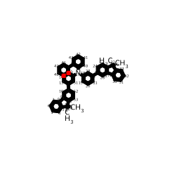 CC1(C)c2ccccc2-c2cc(-c3cccc(N(c4cccc(-c5ccc6c(c5)-c5ccccc5C6(C)C)c4)c4ccccc4-c4ccccc4)c3)ccc21